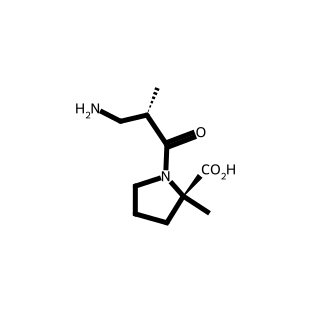 C[C@@H](CN)C(=O)N1CCC[C@]1(C)C(=O)O